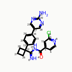 N=C(NC(=O)c1ccnc(Cl)c1)C1(c2ccc(-c3cnc(N)nc3)cc2)CCC1